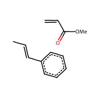 C=CC(=O)OC.CC=Cc1ccccc1